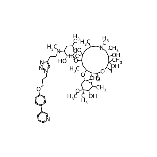 CO[C@]1(C)C[C@H](O[C@H]2[C@H](C)[C@@H](O[C@@H]3O[C@H](C)C[C@H](N(C)CCc4cn(CCCOc5ccc(-c6cccnc6)cc5)nn4)[C@H]3O)[C@](C)(O)C[C@@H](C)CN(C)[C@H](C)[C@@H](O)[C@](C)(O)[C@@H](I)OC(=O)[C@@H]2C)O[C@@H](C)[C@@H]1O